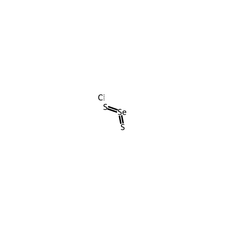 S=[Se]=S.[C]